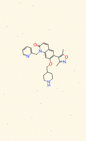 Cc1noc(C)c1-c1cc2ccc(=O)n(Cc3ccccn3)c2cc1OCC1CCNCC1